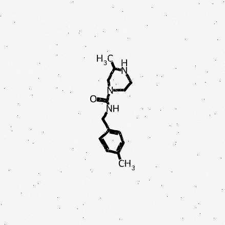 Cc1ccc(CNC(=O)N2CCNC(C)C2)cc1